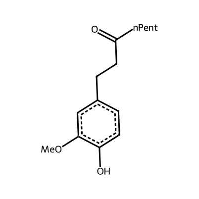 CCCCCC(=O)CCc1ccc(O)c(OC)c1